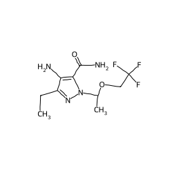 CCc1nn(C(C)OCC(F)(F)F)c(C(N)=O)c1N